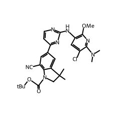 COc1nc(N(C)C)c(Cl)cc1Nc1nccc(-c2cc(C#N)c3c(c2)C(C)(C)CN3C(=O)OC(C)(C)C)n1